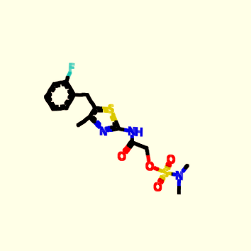 Cc1nc(NC(=O)COS(=O)(=O)N(C)C)sc1Cc1ccccc1F